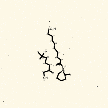 CC1CCCCN1OC(=O)CCCCCCCCC(=O)O.CCC(C)(C)CCCC(C)CO